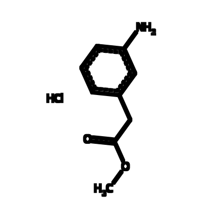 COC(=O)Cc1cccc(N)c1.Cl